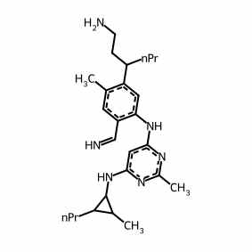 CCCC(CCN)c1cc(Nc2cc(NC3C(C)C3CCC)nc(C)n2)c(C=N)cc1C